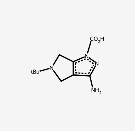 CC(C)(C)N1Cc2c(N)nn(C(=O)O)c2C1